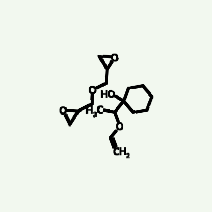 C(OCC1CO1)C1CO1.C=COC(C)C1(O)CCCCC1